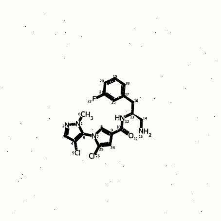 Cn1ncc(Cl)c1-n1cc(C(=O)N[C@H](CN)Cc2cccc(F)c2)cc1Cl